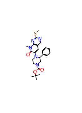 CSc1ncc2cc(N3CCN(C(=O)OC(C)(C)C)CC3c3ccccc3)c(=O)n(C)c2n1